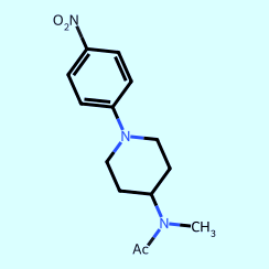 CC(=O)N(C)C1CCN(c2ccc([N+](=O)[O-])cc2)CC1